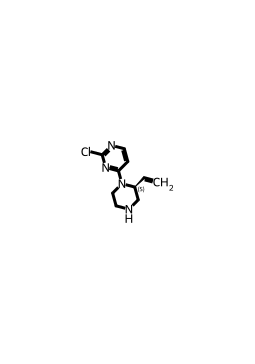 C=C[C@H]1CNCCN1c1ccnc(Cl)n1